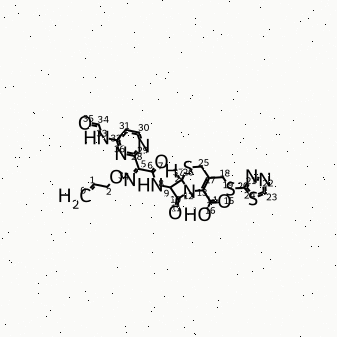 C=CCON=C(C(=O)NC1C(=O)N2C(C(=O)O)=C(CSc3nncs3)CS[C@@H]12)c1nccc(NC=O)n1